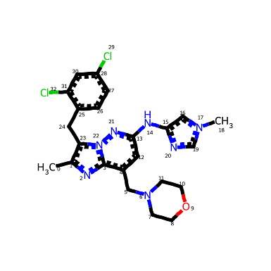 Cc1nc2c(CN3CCOCC3)cc(Nc3cn(C)cn3)nn2c1Cc1ccc(Cl)cc1Cl